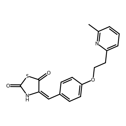 Cc1cccc(CCOc2ccc(C=C3NC(=O)SC3=O)cc2)n1